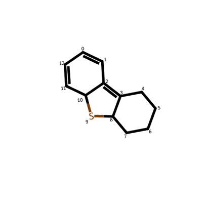 C1=CC2=C3CCCCC3SC2C=C1